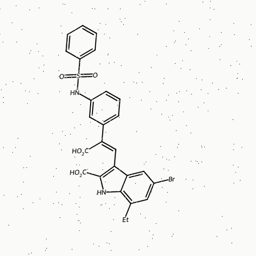 CCc1cc(Br)cc2c(C=C(C(=O)O)c3cccc(NS(=O)(=O)c4ccccc4)c3)c(C(=O)O)[nH]c12